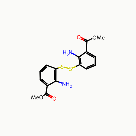 COC(=O)c1cccc(SSc2cccc(C(=O)OC)c2N)c1N